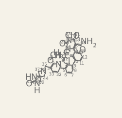 COc1nc(-c2cccc(-c3cccc(-c4c(C(N)=O)c(=O)n(C)c(=O)n4C)c3C)c2Cl)ccc1CN1CC2(CNC(=O)N2)C1